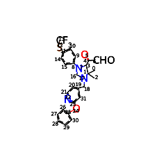 CC1(C)C(C(=O)C=O)N(c2ccc(SC(F)(F)F)cc2)CN1Cc1ccnc(Oc2ccccc2)c1